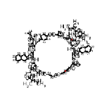 CC[C@H](NC(=O)[C@H](C)NC)C(=O)N1C[C@@H]2C[C@H]1C(=O)N[C@@H](Cc1ccc3ccccc3c1)C(=O)N[C@H](C(=O)NS(=O)(=O)C1CC1)Cc1ccc(cc1)OCc1cn(nn1)[C@H]1C[C@@H](C(=O)N[C@@H](Cc3ccc4ccccc4c3)C(=O)N[C@H](C(=O)O)Cc3ccc(cc3)OC/C=C/CO2)N(C(=O)[C@@H](NC(=O)[C@H](C)NC)C(C)(C)C)C1